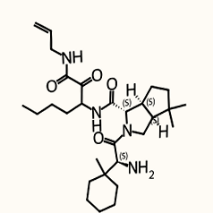 C=CCNC(=O)C(=O)C(CCCC)NC(=O)[C@@H]1[C@H]2CCC(C)(C)[C@H]2CN1C(=O)[C@@H](N)C1(C)CCCCC1